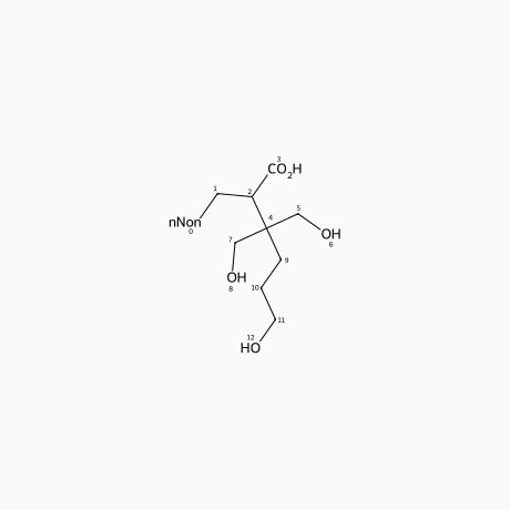 CCCCCCCCCCC(C(=O)O)C(CO)(CO)CCCO